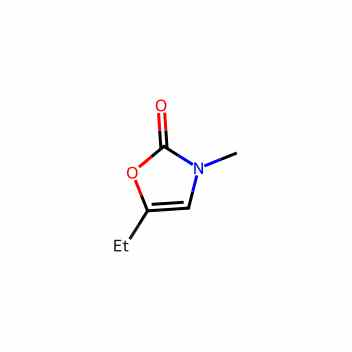 CCc1cn(C)c(=O)o1